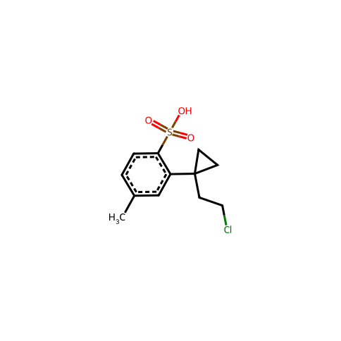 Cc1ccc(S(=O)(=O)O)c(C2(CCCl)CC2)c1